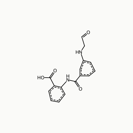 O=CCNc1cccc(C(=O)Nc2ccccc2C(=O)O)c1